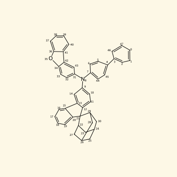 c1ccc(-c2ccc(N(c3ccc4c(c3)-c3ccccc3C43C4CC5CC(C4)CC3C5)c3ccc4oc5ccccc5c4c3)cc2)cc1